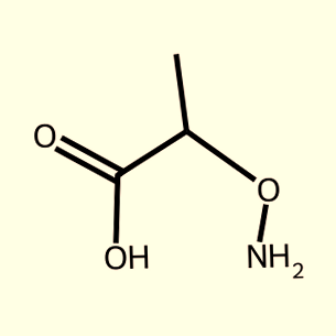 CC(ON)C(=O)O